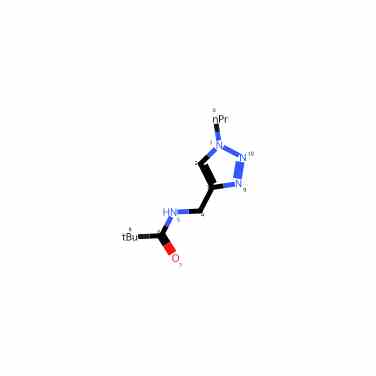 CCCn1cc(CNC(=O)C(C)(C)C)nn1